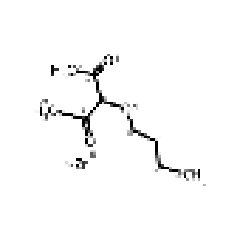 CCCCOC(C(C)=O)C(C)=O.[Zr]